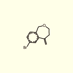 C=C1CCOCc2ccc(Br)cc21